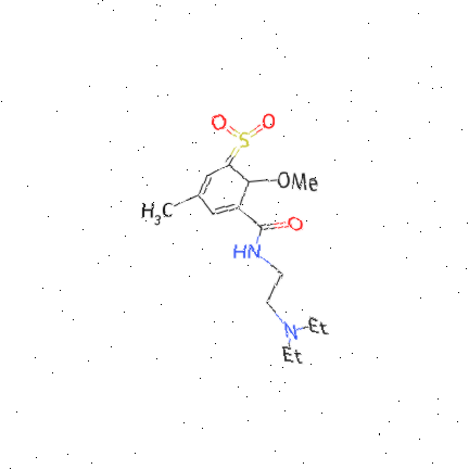 CCN(CC)CCNC(=O)C1=CC(C)=CC(=S(=O)=O)C1OC